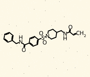 C=CC(=O)NCC1CCN(S(=O)(=O)c2ccc(C(=O)NCc3ccccc3)cc2)CC1